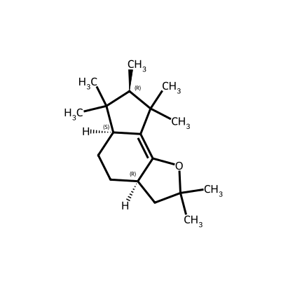 C[C@H]1C(C)(C)C2=C3OC(C)(C)C[C@H]3CC[C@H]2C1(C)C